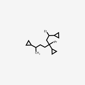 [CH2]CCC(CCC(C)C1CC1)(CC(CC)C1CC1)C1CC1